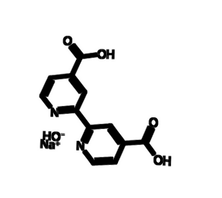 O=C(O)c1ccnc(-c2cc(C(=O)O)ccn2)c1.[Na+].[OH-]